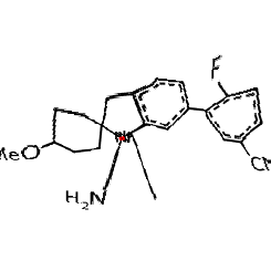 COC1CCC2(CC1)Cc1ccc(-c3cc(C#N)ccc3F)cc1[C@@]21N=C(C)C(N)=N1